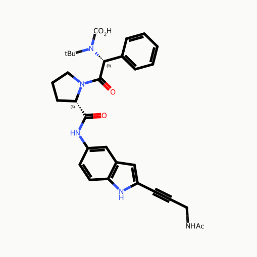 CC(=O)NCC#Cc1cc2cc(NC(=O)[C@@H]3CCCN3C(=O)[C@@H](c3ccccc3)N(C(=O)O)C(C)(C)C)ccc2[nH]1